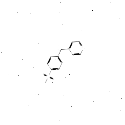 CS(=O)(=O)c1ccc([C@H](O)c2ccncc2)cc1